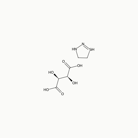 C1C[SiH]=NN1.O=C(O)[C@@H](O)[C@H](O)C(=O)O